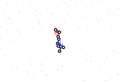 c1ccc(-c2c3ccccc3nc3c2ccc2ccc(-c4ccc5cc(-c6cccc7c6oc6ccccc67)ccc5c4)nc23)cc1